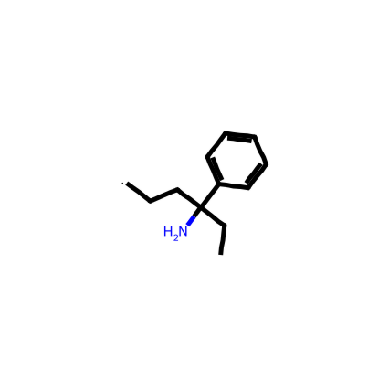 [CH2]CCC(N)(CC)c1ccccc1